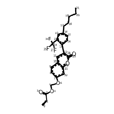 C=CC(=O)OCOc1ccc2cc(-c3ccc(CCCCC)cc3C(F)(F)F)c(=O)oc2c1